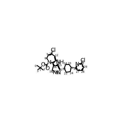 CC(C)(C)OC(=O)N1CC=C(Cl)C=c2[nH]c3c(c21)CN=NC=3[C@H]1CC[C@H](c2cccc(Cl)n2)CC1